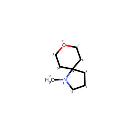 CN1CCCC12CCOCC2